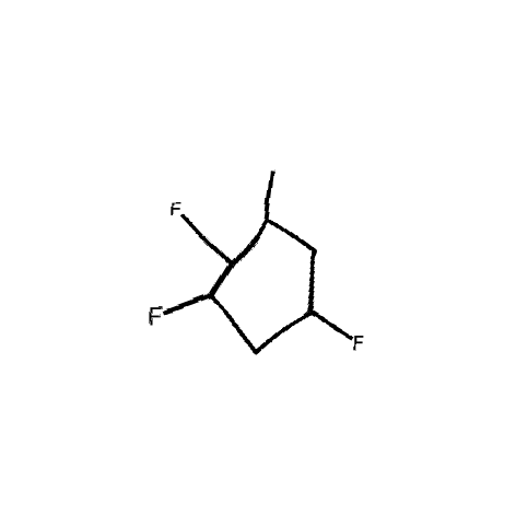 CC1CC(F)CC(F)C1F